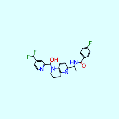 CC(NC(=O)c1ccc(F)cc1)c1ccc2c(n1)CCCN2C(O)c1cc(C(F)F)ccn1